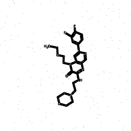 CCOCCn1c(=O)c(NCCN2CCOCC2)nc2cnc(-c3ccc(F)c(F)c3)cc21